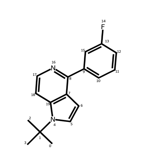 CC(C)(C)n1ccc2c(-c3cccc(F)c3)nccc21